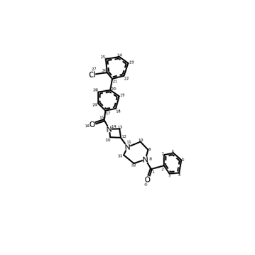 O=C(c1ccccc1)N1CCN(C2CN(C(=O)c3ccc(-c4ccccc4Cl)cc3)C2)CC1